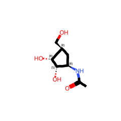 CC(=O)N[C@@H]1C[C@H](CO)[C@@H](O)[C@H]1O